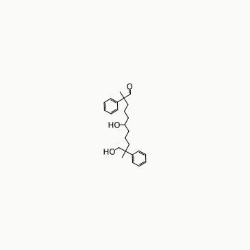 CC(C=O)(CCCC(O)CCCC(C)(CO)c1ccccc1)c1ccccc1